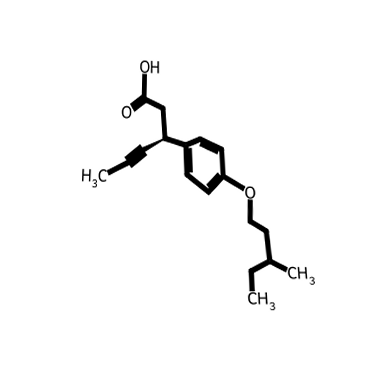 CC#C[C@@H](CC(=O)O)c1ccc(OCCC(C)CC)cc1